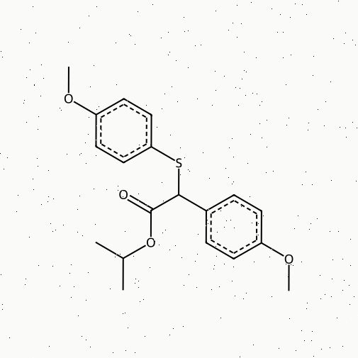 COc1ccc(SC(C(=O)OC(C)C)c2ccc(OC)cc2)cc1